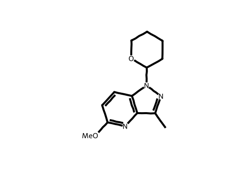 COc1ccc2c(n1)c(C)nn2C1CCCCO1